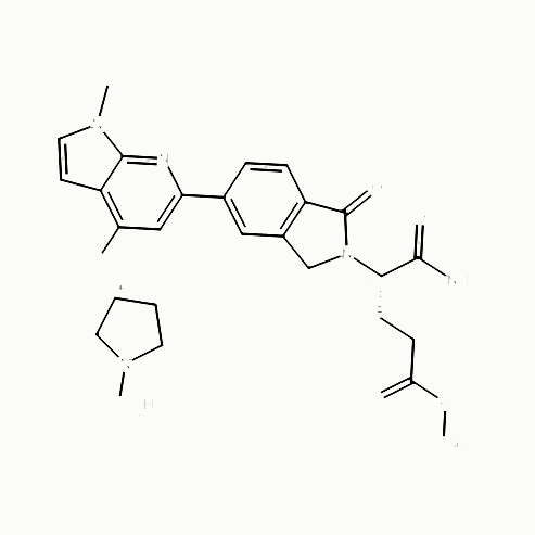 Cn1ccc2c(O[C@@H]3CCN(C(=O)O)C3)cc(-c3ccc4c(c3)CN([C@@H](CCC(=O)OC(C)(C)C)C(N)=O)C4=O)nc21